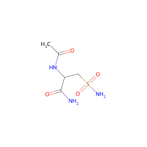 CC(=O)NC(CS(N)(=O)=O)C(N)=O